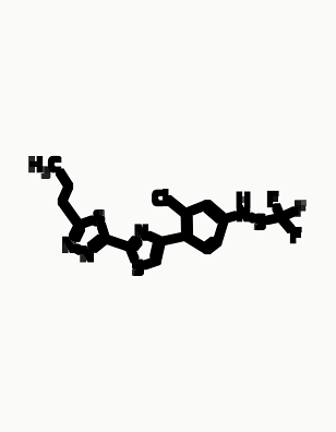 CCCc1nnc(-c2nc(-c3ccc(NSC(F)(F)F)cc3Cl)cs2)s1